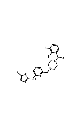 O=C(c1cccc(I)c1F)N1CCN(Cc2cccc(Nc3ncc(F)s3)n2)CC1